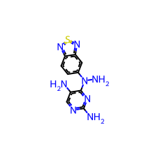 Nc1ncc(N)c(N(N)c2ccc3nsnc3c2)n1